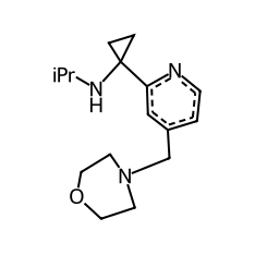 CC(C)NC1(c2cc(CN3CCOCC3)ccn2)CC1